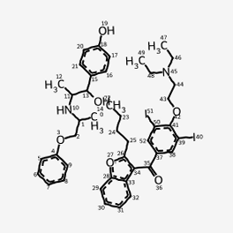 CC(COc1ccccc1)NC(C)C(O)c1ccc(O)cc1.CCCCc1oc2ccccc2c1C(=O)c1cc(I)c(OCCN(CC)CC)c(I)c1